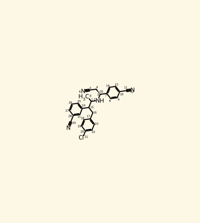 CC(N[C@@H](CC#N)c1ccc(C#N)cc1)C(Cc1ccc(Cl)cc1)c1cccc(C#N)c1